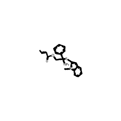 C/C=C/C(=O)OCC(CCC)(Sc1cc2ccccc2n1C)c1ccccc1